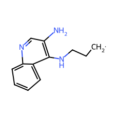 [CH2]CCNc1c(N)cnc2ccccc12